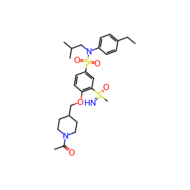 CCc1ccc(N(CC(C)C)S(=O)(=O)c2ccc(OCC3CCN(C(C)=O)CC3)c(S(C)(=N)=O)c2)cc1